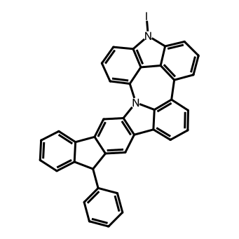 In1c2cccc3c4cccc5c6cc7c(cc6n(c6cccc1c6c32)c45)-c1ccccc1C7c1ccccc1